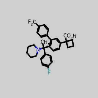 CC(c1ccc(F)cc1)(c1ccc(C2(C(=O)O)CCC2)cc1-c1ccc(C(F)(F)F)cc1)N1CCCCC1